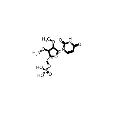 COC1C(ON)[C@@H](COP(=O)(O)O)O[C@H]1n1ccc(=O)[nH]c1=O